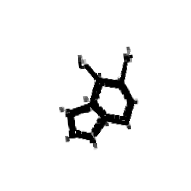 Clc1c(Br)ccc2nnsc12